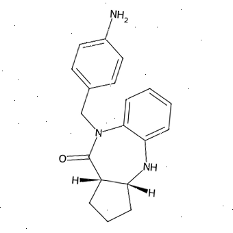 Nc1ccc(CN2C(=O)[C@H]3CCC[C@H]3Nc3ccccc32)cc1